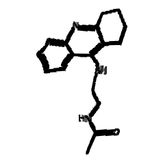 CC(=O)NCCNc1c2c(nc3ccccc13)CCCC2